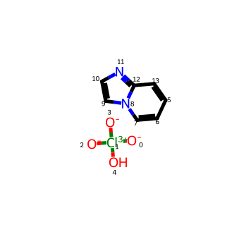 [O-][Cl+3]([O-])([O-])O.c1ccn2ccnc2c1